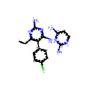 CCc1nc(N)nc(N)c1-c1ccc(Cl)cc1.Nc1ccnc(N)n1